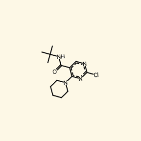 CC(C)(C)NC(=O)c1cnc(Cl)nc1N1CCCCC1